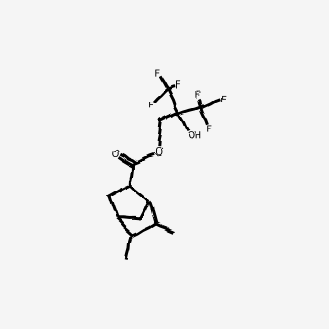 CC1C2CC(C(=O)OCC(O)(C(F)(F)F)C(F)(F)F)C(C2)C1C